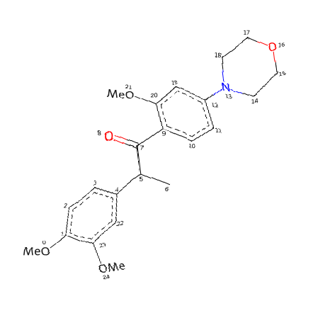 COc1ccc(C(C)C(=O)c2ccc(N3CCOCC3)cc2OC)cc1OC